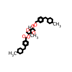 CC1CCC(Cc2ccc(COO[C@H]3COC4(C)C(OC(=O)c5ccc(CC6CCC(C)CC6)cc5)CO[C@H]34)cc2)CC1